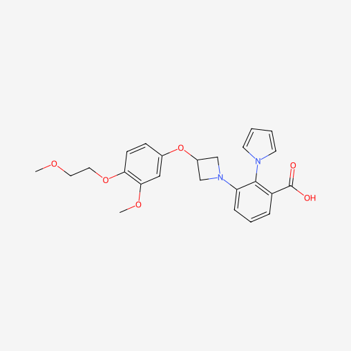 COCCOc1ccc(OC2CN(c3cccc(C(=O)O)c3-n3cccc3)C2)cc1OC